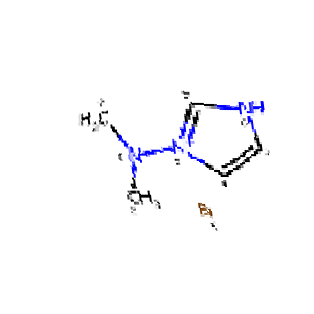 CN(C)[n+]1cc[nH]c1.[Br-]